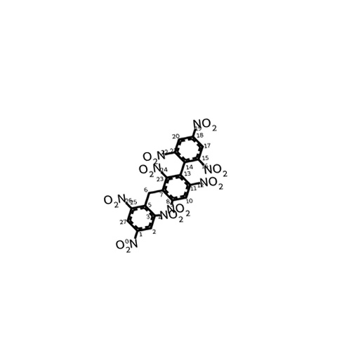 O=[N+]([O-])c1cc([N+](=O)[O-])c(Cc2c([N+](=O)[O-])cc([N+](=O)[O-])c(-c3c([N+](=O)[O-])cc([N+](=O)[O-])cc3[N+](=O)[O-])c2[N+](=O)[O-])c([N+](=O)[O-])c1